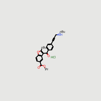 CCCCNCC#Cc1ccc(C(=O)c2c(CCCC)oc3ccc(C(=O)OC(C)C)cc23)cc1.Cl